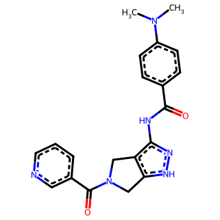 CN(C)c1ccc(C(=O)Nc2n[nH]c3c2CN(C(=O)c2cccnc2)C3)cc1